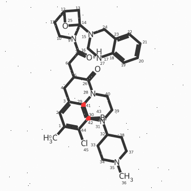 Cc1cc(CC(CC(=O)N2CCC3CC2(N2CNc4ccccc4C2)O3)C(=O)N2CCN(C3CCN(C)CC3)CC2)cc(Br)c1Cl